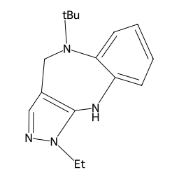 CCn1ncc2c1Nc1ccccc1N(C(C)(C)C)C2